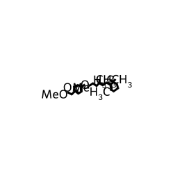 COC(Cc1ccc(OCCC/C(C)=C/CC2=C(C)CCCC2(C)C)cc1)OC